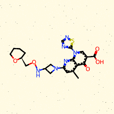 Cc1cc(N2CC(NOC[C@@H]3CCCCO3)C2)nc2c1c(=O)c(C(=O)O)cn2-c1ncns1